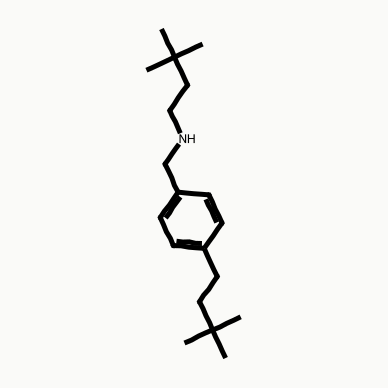 CC(C)(C)CCNCc1ccc(CCC(C)(C)C)cc1